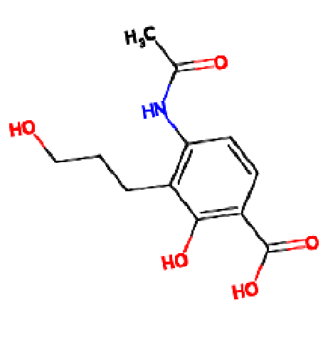 CC(=O)Nc1ccc(C(=O)O)c(O)c1CCCO